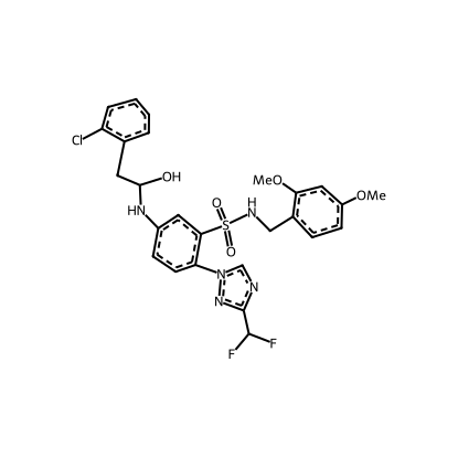 COc1ccc(CNS(=O)(=O)c2cc(NC(O)Cc3ccccc3Cl)ccc2-n2cnc(C(F)F)n2)c(OC)c1